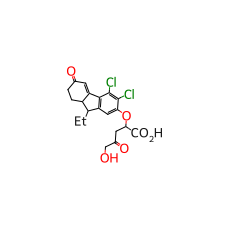 CCC1c2cc(OC(CC(=O)CO)C(=O)O)c(Cl)c(Cl)c2C2=CC(=O)CCC21